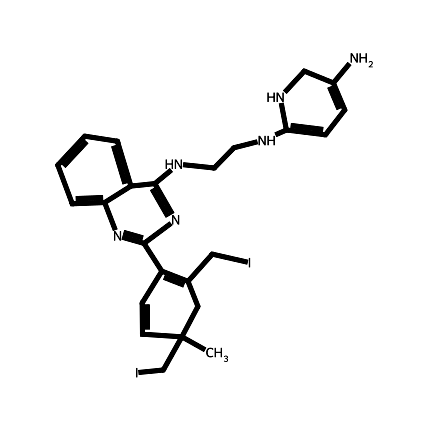 CC1(CI)C=CC(c2nc(NCCNC3=CC=C(N)CN3)c3ccccc3n2)=C(CI)C1